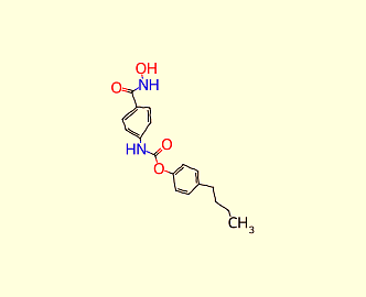 CCCCc1ccc(OC(=O)Nc2ccc(C(=O)NO)cc2)cc1